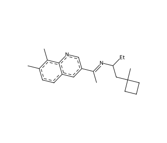 CCC(CC1(C)CCC1)/N=C(\C)c1cnc2c(C)c(C)ccc2c1